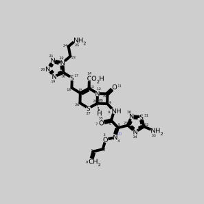 C=CCO/N=C(\C(=O)NC1C(=O)N2C(C(=O)O)=C(CSc3nnnn3CCN)CS[C@H]12)c1nsc(N)n1